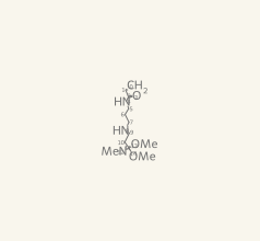 C=CC(=O)NCCCNCCC(NC)(OC)OC